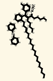 CCCCCCCCCCCCCCCCC=CCCc1ccccc1C(=C(CCCCC)C(=C=[N+]=[N-])CCCCC)c1cccc(C)c1.c1cc[c]([Ni][c]2ccccc2)cc1